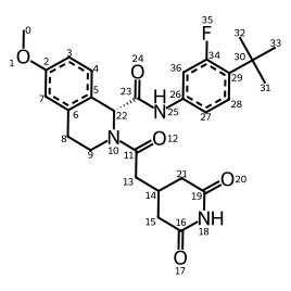 COc1ccc2c(c1)CCN(C(=O)CC1CC(=O)NC(=O)C1)[C@H]2C(=O)Nc1ccc(C(C)(C)C)c(F)c1